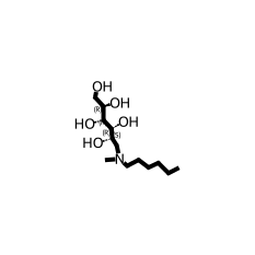 CCCCCCN(C)C[C@H](O)[C@@H](O)[C@H](O)[C@H](O)CO